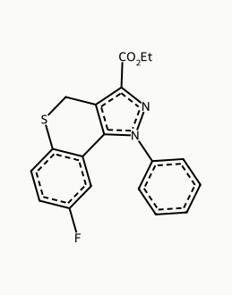 CCOC(=O)c1nn(-c2ccccc2)c2c1CSc1ccc(F)cc1-2